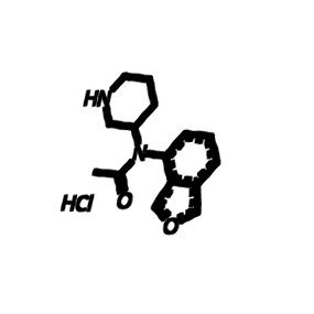 CC(=O)N(c1cccc2cocc12)C1CCCNC1.Cl